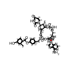 Cc1cc(O)ccc1C(=O)Oc1ccc(CSP2(=O)OC[C@H]3O[C@@H](n4ccc(=O)[nH]c4=O)[C@H](F)[C@@H]3OP(=O)(O)OC[C@H]3O[C@@H](n4cnc5c(N)ncnc54)[C@H](O2)[C@@H]3F)cc1